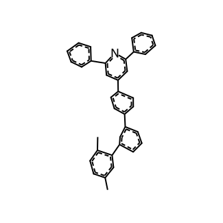 Cc1ccc(C)c(-c2cccc(-c3ccc(-c4cc(-c5ccccc5)nc(-c5ccccc5)c4)cc3)c2)c1